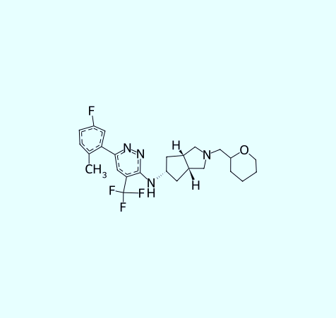 Cc1ccc(F)cc1-c1cc(C(F)(F)F)c(N[C@@H]2C[C@@H]3CN(CC4CCCCO4)C[C@@H]3C2)nn1